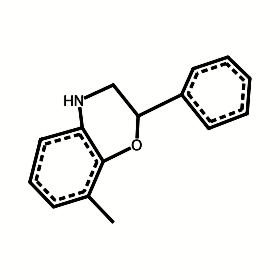 Cc1cccc2c1OC(c1ccccc1)CN2